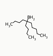 BC(CCCC)(CCCC)CCCCC